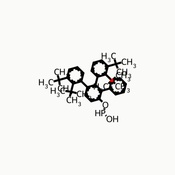 CC(C)(C)c1cccc(-c2ccc(OPO)c(-c3ccccc3)c2-c2cccc(C(C)(C)C)c2C(C)(C)C)c1C(C)(C)C